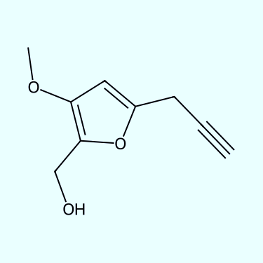 C#CCc1cc(OC)c(CO)o1